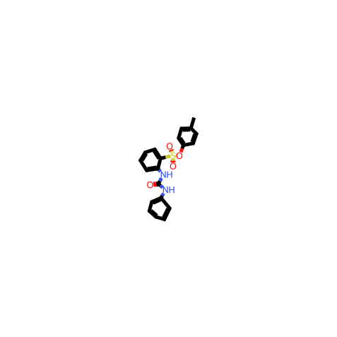 Cc1ccc(OS(=O)(=O)c2ccccc2NC(=O)Nc2ccccc2)cc1